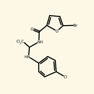 O=C(NC(Nc1ccc(Cl)cc1)C(Cl)(Cl)Cl)c1ccc(Br)o1